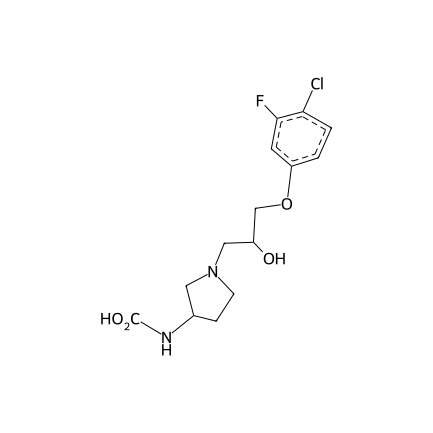 O=C(O)NC1CCN(CC(O)COc2ccc(Cl)c(F)c2)C1